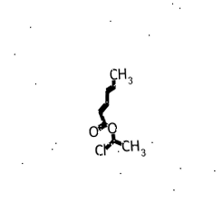 C/C=C/C=C/C(=O)OC(C)Cl